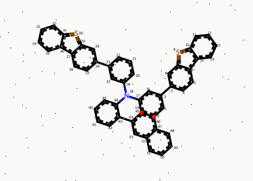 c1cc(-c2ccc3c(c2)sc2ccccc23)cc(N(c2cccc(-c3ccc4c(c3)sc3ccccc34)c2)c2ccccc2-c2ccc3ccccc3c2)c1